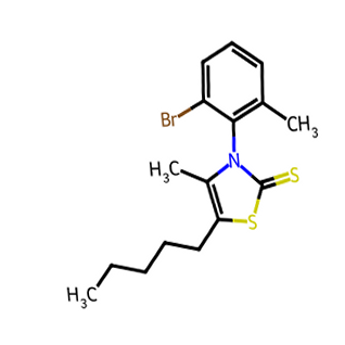 CCCCCc1sc(=S)n(-c2c(C)cccc2Br)c1C